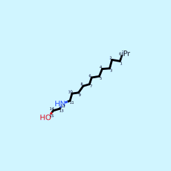 CC(C)CCCCCCCCCCCNCCO